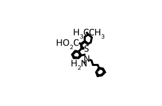 CC1(C)CCc2sc(-c3ccccc3CN(N)CCCc3ccccc3)c(C(=O)O)c2C1